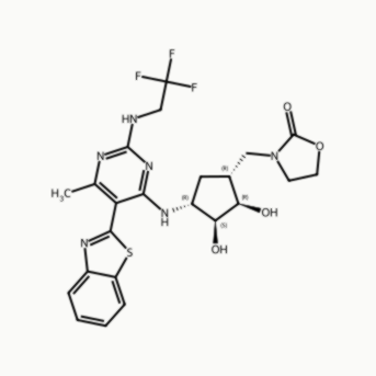 Cc1nc(NCC(F)(F)F)nc(N[C@@H]2C[C@H](CN3CCOC3=O)[C@@H](O)[C@H]2O)c1-c1nc2ccccc2s1